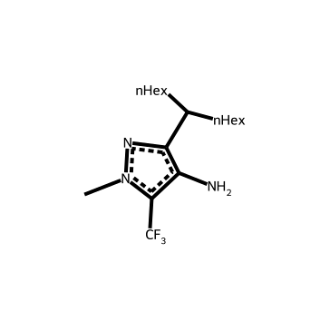 CCCCCCC(CCCCCC)c1nn(C)c(C(F)(F)F)c1N